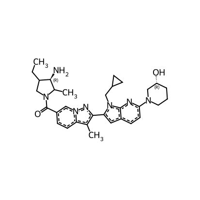 CCC1CN(C(=O)c2ccc3c(C)c(-c4cc5ccc(N6CCC[C@@H](O)C6)nc5n4CC4CC4)nn3c2)C(C)[C@@H]1N